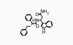 NC(=O)CC(NC(=O)[C@H](CCc1ccccc1)c1ccccc1)c1c[nH]c2ccccc12